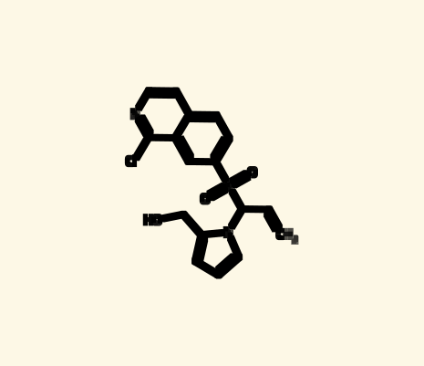 C=CC(n1cccc1CO)S(=O)(=O)c1ccc2ccnc(Cl)c2c1